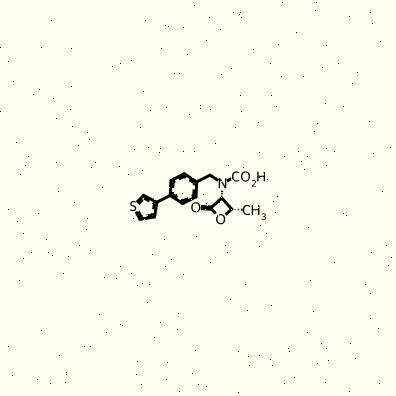 C[C@@H]1OC(=O)[C@@H]1N(Cc1ccc(-c2ccsc2)cc1)C(=O)O